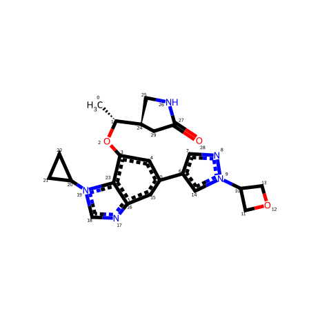 C[C@@H](Oc1cc(-c2cnn(C3COC3)c2)cc2ncn(C3CC3)c12)[C@H]1CNC(=O)C1